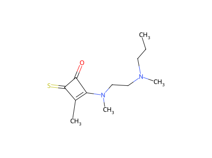 CCCN(C)CCN(C)c1c(C)c(=S)c1=O